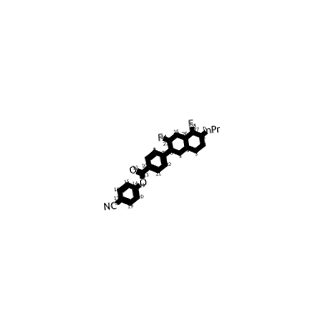 CCCC1CCC2CC(c3ccc(C(=O)Oc4ccc(C#N)cc4)cc3)C(F)CC2C1F